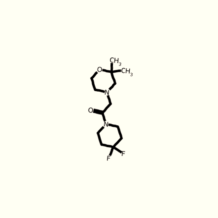 CC1(C)CN(CC(=O)N2CCC(F)(F)CC2)CCO1